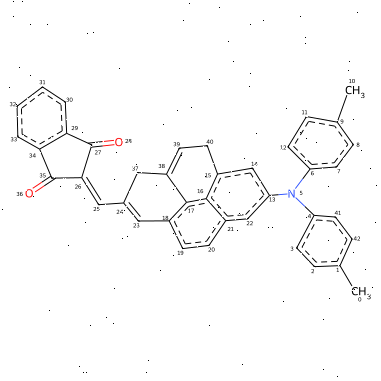 Cc1ccc(N(c2ccc(C)cc2)c2cc3c4c5c(ccc4c2)C=C(C=C2C(=O)c4ccccc4C2=O)CC5=CC3)cc1